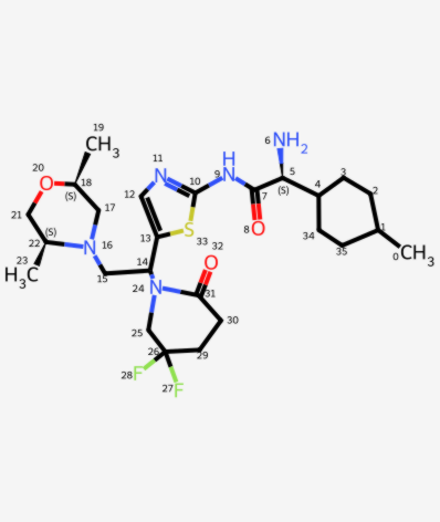 CC1CCC([C@H](N)C(=O)Nc2ncc(C(CN3C[C@H](C)OC[C@@H]3C)N3CC(F)(F)CCC3=O)s2)CC1